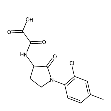 Cc1ccc(N2CCC(NC(=O)C(=O)O)C2=O)c(Cl)c1